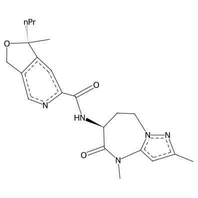 CCC[C@@]1(C)OCc2cnc(C(=O)N[C@H]3CCn4nc(C)cc4N(C)C3=O)cc21